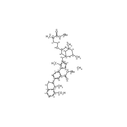 C.Cc1c(-c2ccc(N3CCc4cccc(C(=O)O)c4C3C)nc2C(=O)OC(C)(C)C)cnn1CC12CC(C)CC(C)(CC(OCCN(C)C(=O)OC(C)(C)C)C1)C2